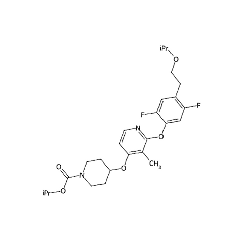 Cc1c(OC2CCN(C(=O)OC(C)C)CC2)ccnc1Oc1cc(F)c(CCOC(C)C)cc1F